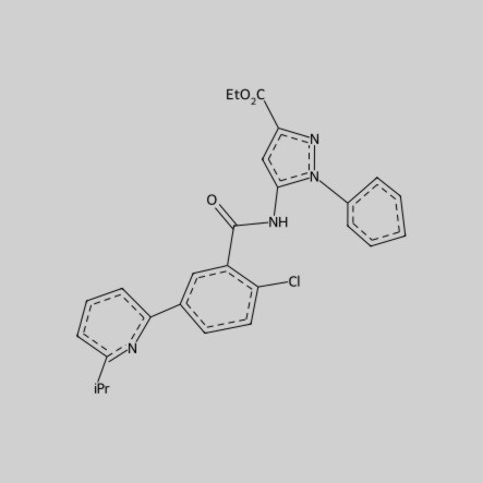 CCOC(=O)c1cc(NC(=O)c2cc(-c3cccc(C(C)C)n3)ccc2Cl)n(-c2ccccc2)n1